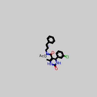 CC(=O)ON(C/C=C/c1ccccc1)C(=O)C1=C(C)NC(=O)NC1c1cccc(Cl)c1